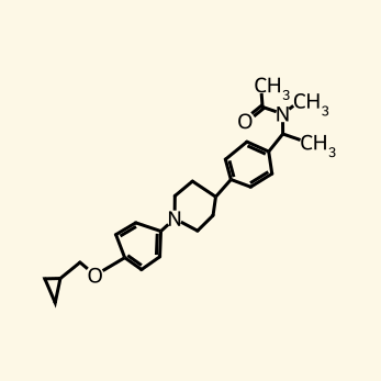 CC(=O)N(C)C(C)c1ccc(C2CCN(c3ccc(OCC4CC4)cc3)CC2)cc1